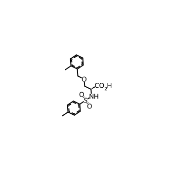 Cc1ccc(S(=O)(=O)N[C@@H](COCc2ccccc2C)C(=O)O)cc1